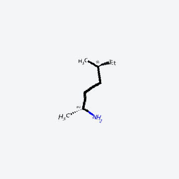 CC[C@H](C)CC[C@@H](C)N